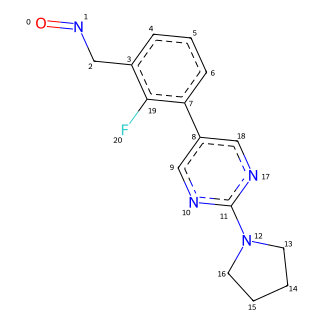 O=NCc1cccc(-c2cnc(N3CCCC3)nc2)c1F